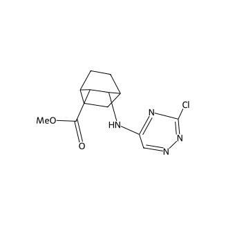 COC(=O)C1C2CCC(CC2)C1Nc1cnnc(Cl)n1